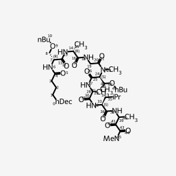 CCCCCCCCCCCCCC(=O)N[C@H](COCCCC)C(=O)N[C@H](C)C(=O)NCC(=O)N(C)[C@H](C(=O)N[C@@H](C)C(=O)N[C@@H](CC(C)C)C(=O)NC(C)C(=O)C(=O)NC)C(C)OCCCC